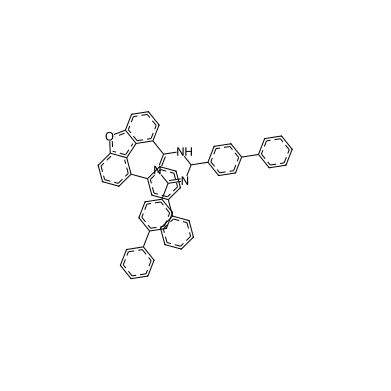 c1ccc(-c2ccc(C3=NC(c4ccc(-c5ccccc5)cc4)NC(c4cccc5oc6cccc(-c7cccc(-c8ccccc8)c7)c6c45)=N3)cc2)cc1